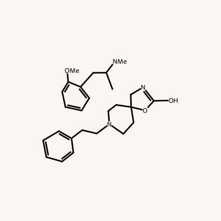 CNC(C)Cc1ccccc1OC.OC1=NCC2(CCN(CCc3ccccc3)CC2)O1